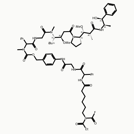 CCC(=O)N(CCCCCC(=O)NC(C(=O)NCC(=O)Nc1ccc(COC(=O)N(C)C(C(=O)NCC(=O)N(C)[C@@H]([C@@H](C)CC)[C@@H](CC(=O)N2CCC[C@H]2[C@H](OC)[C@@H](C)C(=O)N[C@H](C)[C@@H](O)c2ccccc2)OC)C(C)C)cc1)C(C)C)C(=O)F